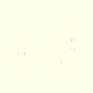 NC1=CC=C2NNNC12